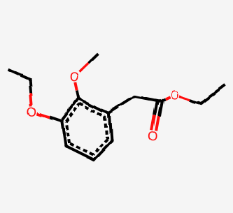 CCOC(=O)Cc1cccc(OCC)c1OC